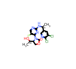 C[C@H](Nc1ncc(F)c(N2C(=O)OCC2[C@@H](C)O)n1)c1cnc(Cl)c(Cl)c1